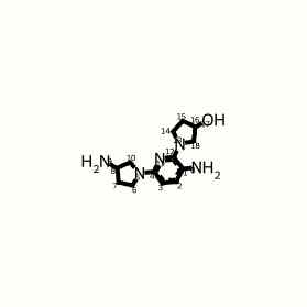 Nc1ccc(N2CCC(N)C2)nc1N1CCC(O)C1